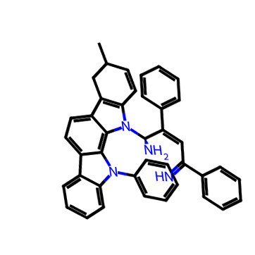 CC1C=Cc2c(c3ccc4c5ccccc5n(-c5ccccc5)c4c3n2[C@H](N)/C(=C\C(=N)c2ccccc2)c2ccccc2)C1